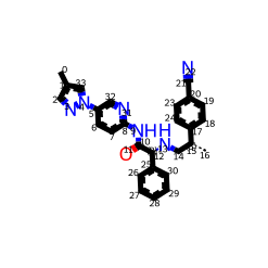 Cc1cnn(-c2ccc(NC(=O)[C@H](NC[C@@H](C)c3ccc(C#N)cc3)c3ccccc3)nc2)c1